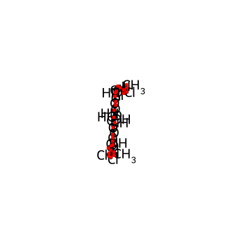 CN1Cc2c(Cl)cc(Cl)cc2C(c2cccc(S(=O)(=O)NCCOCCOCCOCCNC(=O)C(O)C(O)C(=O)NCCOCCOCCOCCNS(=O)(=O)c3cccc(C4CN(C)CC5C(Cl)CC(Cl)CC45)c3)c2)C1